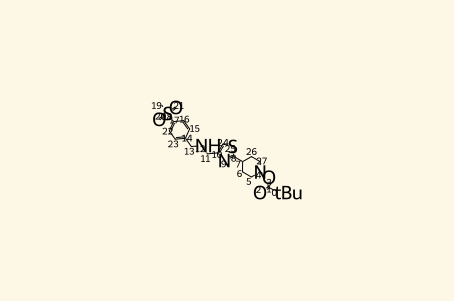 CC(C)(C)C(=O)ON1CCC(c2nc(CNCc3ccc(S(C)(=O)=O)cc3)cs2)CC1